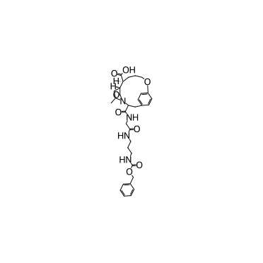 CC1C[C@H]2C(=O)N1C(C(=O)NCC(=O)NCCCNC(=O)OCc1ccccc1)Cc1ccc(cc1)OCCC[C@@H]2C(=O)O